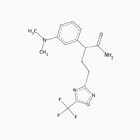 CN(C)c1cccc(C(CCc2noc(C(F)(F)F)n2)C(N)=O)c1